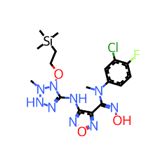 CN(C(=NO)c1nonc1NC1=NNN(C)N1OCC[Si](C)(C)C)c1ccc(F)c(Cl)c1